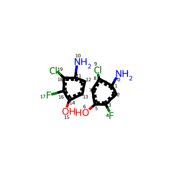 Nc1cc(F)c(O)cc1Cl.Nc1ccc(O)c(F)c1Cl